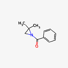 CC1(C)CN1C(=O)c1ccccc1